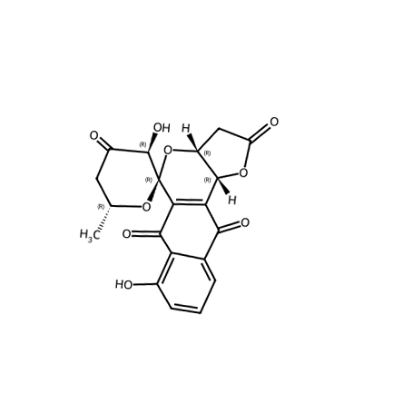 C[C@@H]1CC(=O)[C@@H](O)[C@]2(O1)O[C@@H]1CC(=O)O[C@@H]1C1=C2C(=O)c2c(O)cccc2C1=O